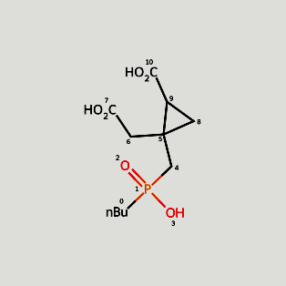 CCCCP(=O)(O)CC1(CC(=O)O)CC1C(=O)O